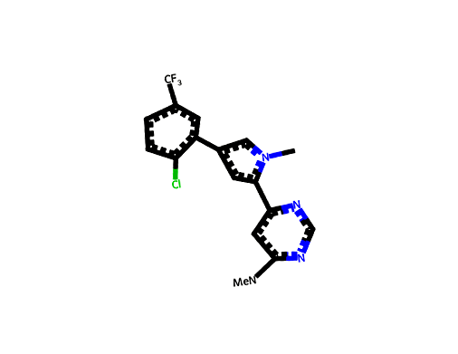 CNc1cc(-c2cc(-c3cc(C(F)(F)F)ccc3Cl)cn2C)ncn1